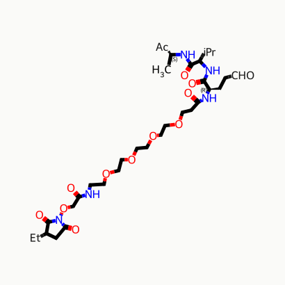 CCC1CC(=O)N(OCC(=O)NCCOCCOCCOCCOCCC(=O)N[C@H](CCC=O)C(=O)NC(C(=O)N[C@@H](C)C(C)=O)C(C)C)C1=O